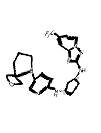 FC(F)(F)c1ccn2nc(N[C@H]3CC[C@H](Nc4ccc(N5CCCC56COC6)cn4)C3)nc2c1